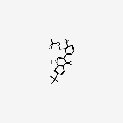 CC(=O)OCc1c(Br)cccc1-c1c[nH]c2cc(C(C)(C)C)ccc2c1=O